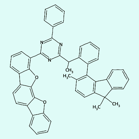 Cc1ccc2c(c1-c1ccccc1C(C)c1nc(-c3ccccc3)nc(-c3cccc4c3oc3c4ccc4c5ccccc5oc43)n1)-c1ccccc1C2(C)C